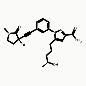 C[C@H](O)CCCc1cc(C(N)=O)nn1-c1cccc(C#C[C@]2(O)CCN(C)C2=O)c1